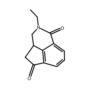 CCN1CC2CC(=O)c3cccc(c32)C1=O